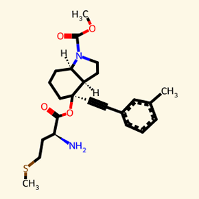 COC(=O)N1CC[C@@H]2[C@H]1CCC[C@]2(C#Cc1cccc(C)c1)OC(=O)[C@@H](N)CCSC